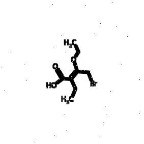 CCOC(CBr)=C(CC)C(=O)O